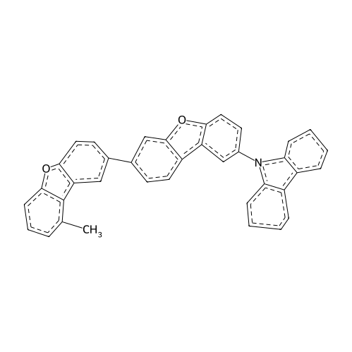 Cc1cccc2oc3ccc(-c4ccc5c(c4)oc4ccc(-n6c7ccccc7c7ccccc76)cc45)cc3c12